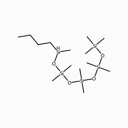 CCCC[SiH](C)O[Si](C)(C)O[Si](C)(C)O[Si](C)(C)O[Si](C)(C)C